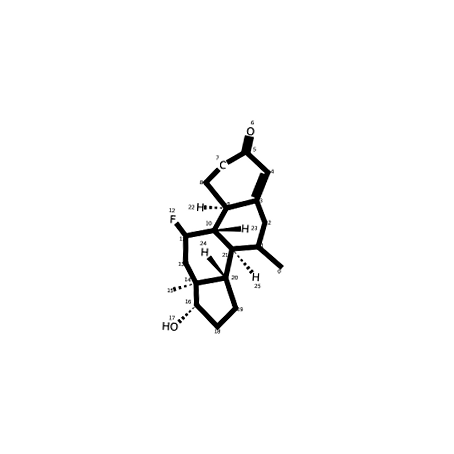 CC1CC2=CC(=O)CC[C@@H]2[C@H]2C(F)C[C@]3(C)[C@@H](O)CC[C@H]3[C@H]12